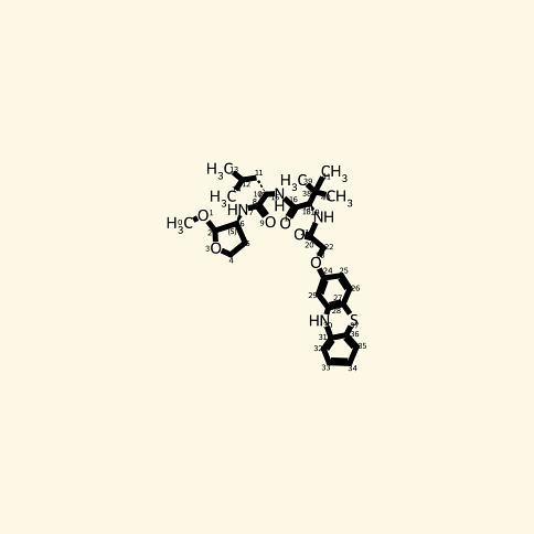 COC1OCC[C@@H]1NC(=O)[C@H](CC(C)C)NC(=O)[C@@H](NC(=O)COc1ccc2c(c1)Nc1ccccc1S2)C(C)(C)C